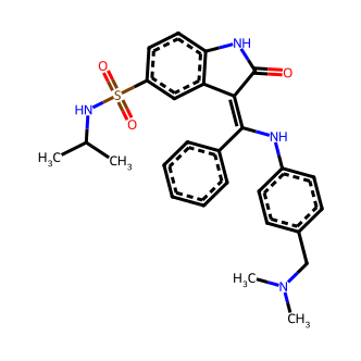 CC(C)NS(=O)(=O)c1ccc2c(c1)/C(=C(/Nc1ccc(CN(C)C)cc1)c1ccccc1)C(=O)N2